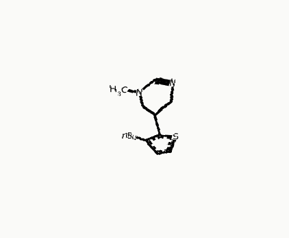 CCCCc1ccsc1C1CN=CN(C)C1